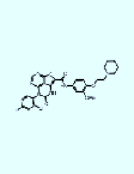 COc1cc(NC(=O)c2sc3ncnc4c3c2NC(=O)N4c2ccc(F)cc2Cl)ccc1OCCN1CCCCC1